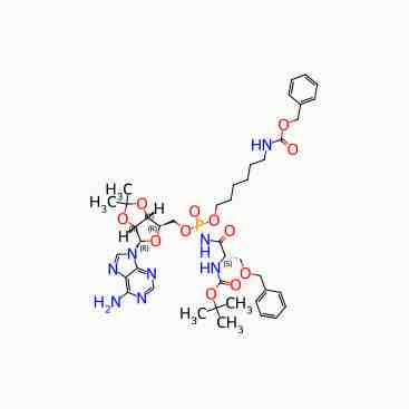 CC(C)(C)OC(=O)N[C@@H](COCc1ccccc1)C(=O)NP(=O)(OCCCCCCNC(=O)OCc1ccccc1)OC[C@H]1O[C@@H](n2cnc3c(N)ncnc32)[C@@H]2OC(C)(C)O[C@@H]21